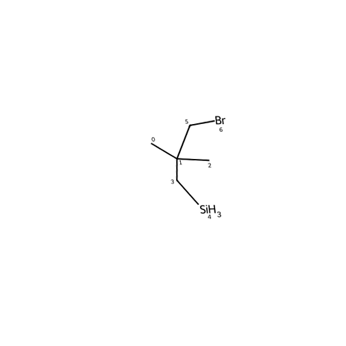 CC(C)(C[SiH3])CBr